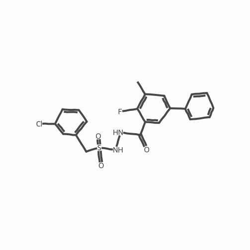 Cc1cc(-c2ccccc2)cc(C(=O)NNS(=O)(=O)Cc2cccc(Cl)c2)c1F